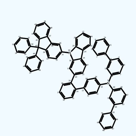 c1ccc(-c2cccc(N(c3ccc(-c4ccccc4-c4ccc5c6ccccc6n(-c6ccc7c(c6)-c6ccccc6C7(c6ccccc6)c6ccccc6)c5c4)cc3)c3cccc(-c4ccccc4)c3)c2)cc1